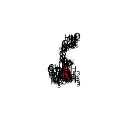 COCOc1cc(-c2ncc3c(N4CC5CCC(C4)N5C(=O)OC(C)(C)C)nc(OCC4(CN5CCN(CCCC6CCN(C(=O)c7ccc(F)c(N8CCC(=O)NC8=O)c7)CC6)CC5)CCCCC4)nc3c2F)c2c(C#C[Si](C(C)C)(C(C)C)C(C)C)c(F)ccc2c1